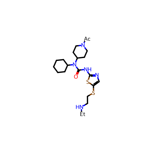 CCNCCSc1cnc(NC(=O)N(C2CCCCC2)C2CCN(C(C)=O)CC2)s1